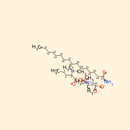 CCCC(C(=O)O)N(C)C.CCCCCCCCCCCCCCCC(N)=O.C[N+](C)(C)CC(=O)[O-]